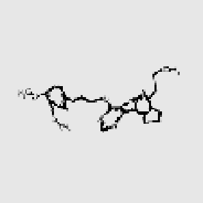 CCCc1nc2sc3c(OCCc4ccc(OC)c(OC)c4)ncnc3c2c2c1CCC2